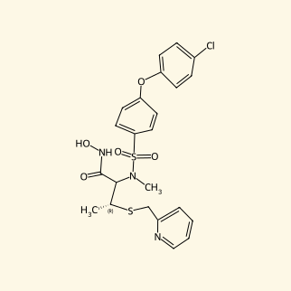 C[C@@H](SCc1ccccn1)C(C(=O)NO)N(C)S(=O)(=O)c1ccc(Oc2ccc(Cl)cc2)cc1